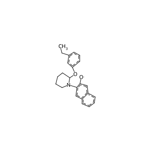 CCc1cccc(OC2CCCCN2c2cc3ccccc3cc2[O])c1